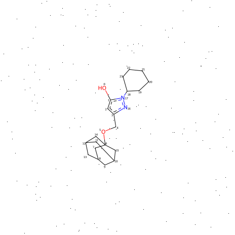 Oc1cc(COC23CC4CC(CC(C4)C2)C3)nn1C1CCCCC1